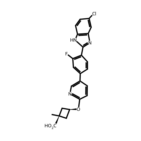 C[C@]1(C(=O)O)C[C@@H](Oc2ccc(-c3ccc(-c4nc5cc(Cl)ccc5[nH]4)c(F)c3)cn2)C1